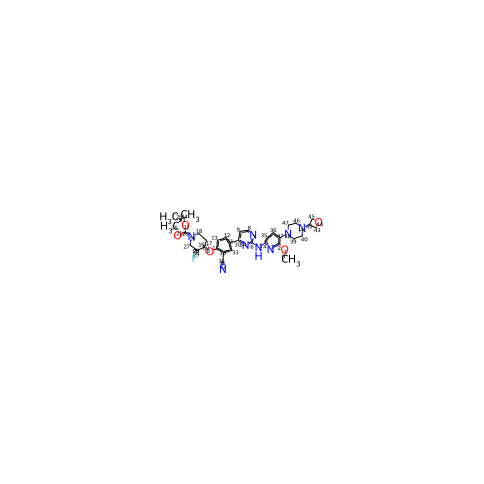 COc1nc(Nc2nccc(-c3ccc(O[C@H]4CCN(C(=O)OC(C)(C)C)C[C@H]4F)c(C#N)c3)n2)ccc1N1CCN(C2COC2)CC1